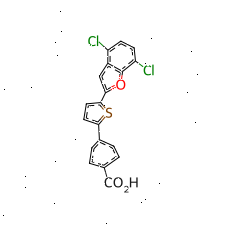 O=C(O)c1ccc(-c2ccc(-c3cc4c(Cl)ccc(Cl)c4o3)s2)cc1